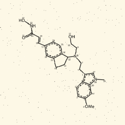 COc1ccc2c(CCN(CCO)C3CCc4cc(C=CC(=O)NO)ccc43)cn(C)c2c1